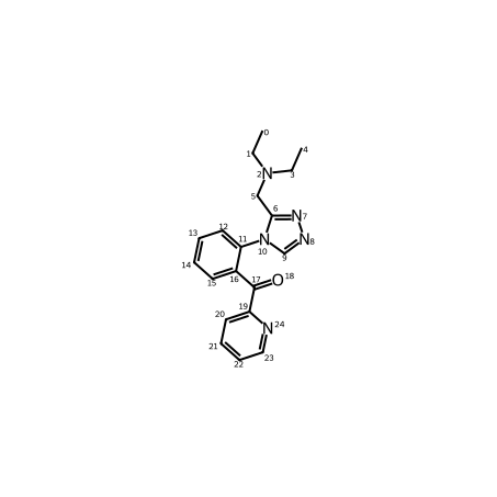 CCN(CC)Cc1nncn1-c1ccccc1C(=O)c1ccccn1